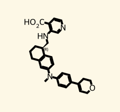 CN(c1ccc(C2=CCOCC2)cc1)c1ccc2c(c1)CCC[C@H]2CNc1cnccc1C(=O)O